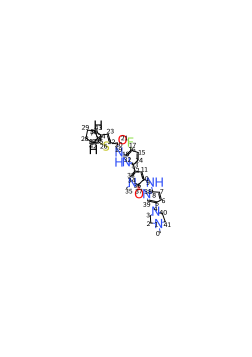 CN1CCN(c2ccc(Nc3cc(-c4ccc(F)c(NC(=O)c5cc6c(s5)[C@H]5CC[C@@H]6C5)n4)cn(C)c3=O)nc2)CC1